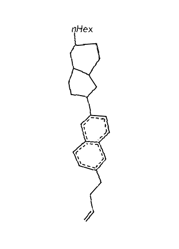 C=CCCc1ccc2cc(C3CCC4CC(CCCCCC)CCC4C3)ccc2c1